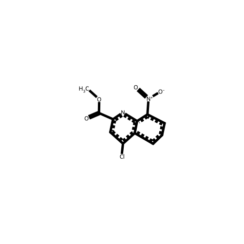 COC(=O)c1cc(Cl)c2cccc([N+](=O)[O-])c2n1